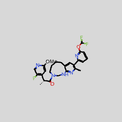 COc1cc([C@@H](C)C(=O)N2CCCCc3cc(-c4cccc(OC(F)F)n4)c(C)nc3NC2)c(F)cn1